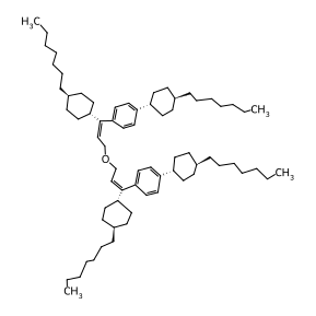 CCCCCCC[C@H]1CC[C@H](C(=CCOCC=C(c2ccc([C@H]3CC[C@H](CCCCCCC)CC3)cc2)[C@H]2CC[C@H](CCCCCCC)CC2)c2ccc([C@H]3CC[C@H](CCCCCCC)CC3)cc2)CC1